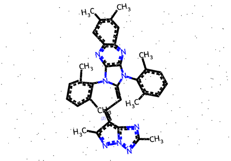 Cc1nc2/c(=C\C=C3N(c4c(C)cccc4C)c4nc5cc(C)c(C)cc5nc4N3c3c(C)cccc3C)c(C)nn2n1